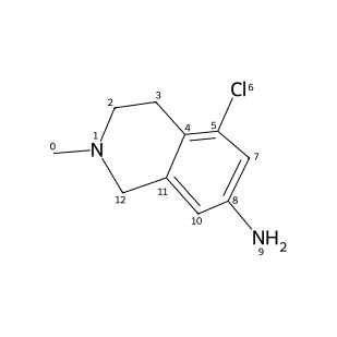 CN1CCc2c(Cl)cc(N)cc2C1